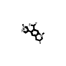 C[C@H]1Cc2cc(-c3cnn(C)c3)c(C(F)F)cc2N(C)C1